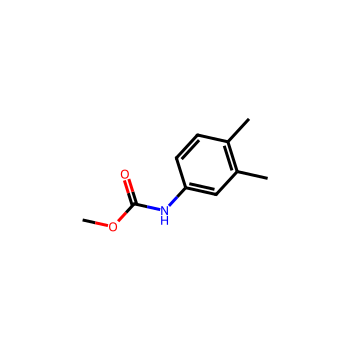 COC(=O)Nc1ccc(C)c(C)c1